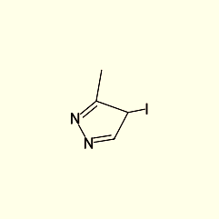 CC1=NN=CC1I